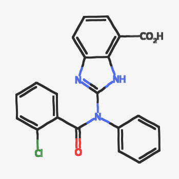 O=C(O)c1cccc2nc(N(C(=O)c3ccccc3Cl)c3ccccc3)[nH]c12